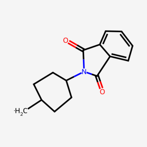 [CH2]C1CCC(N2C(=O)c3ccccc3C2=O)CC1